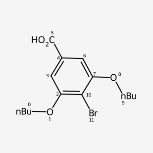 CCCCOc1cc(C(=O)O)cc(OCCCC)c1Br